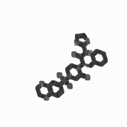 O=C(Nc1nccs1)[C@H](CC1CCCCC1)N1CCN(S(=O)(=O)c2ccc3c(c2)OCCO3)CC1=O